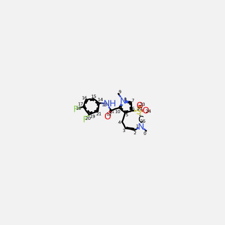 CN1/C=C\Cc2c(cn(C)c2C(=O)Nc2ccc(F)c(F)c2)S(=O)(=O)C1